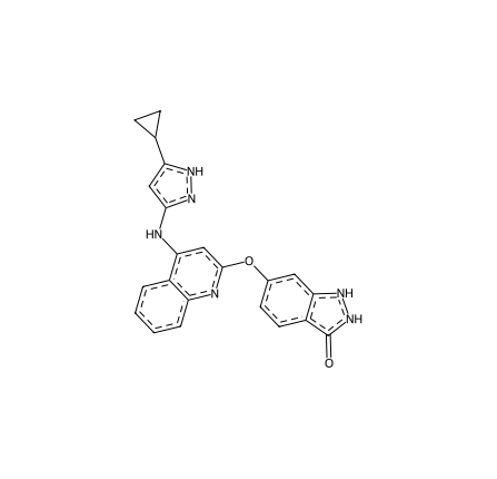 O=c1[nH][nH]c2cc(Oc3cc(Nc4cc(C5CC5)[nH]n4)c4ccccc4n3)ccc12